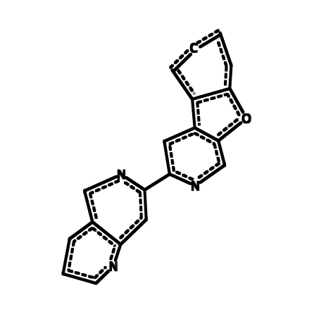 c1cnc2cc(-c3cc4c(cn3)oc3ccccc34)ncc2c1